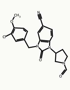 COc1ccc(Cn2c(=O)n(C3CCN(C=O)C3)c3ccc(C#N)cc32)cc1Cl